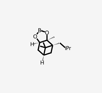 CC(C)C[C@@]12C[C@@H](C[C@H]3O[B]O[C@]31C)C2(C)C